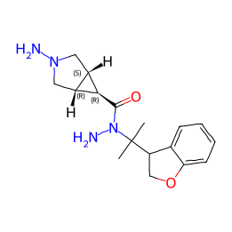 CC(C)(C1COc2ccccc21)N(N)C(=O)[C@H]1[C@@H]2CN(N)C[C@@H]21